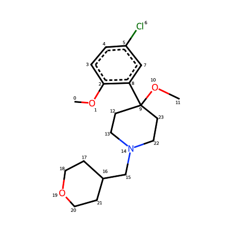 COc1ccc(Cl)cc1C1(OC)CCN(CC2CCOCC2)CC1